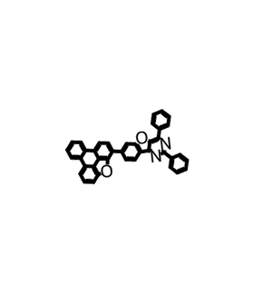 c1ccc(-c2nc(-c3ccccc3)c3oc4cc(-c5ccc6c7ccccc7c7cccc8oc5c6c87)ccc4c3n2)cc1